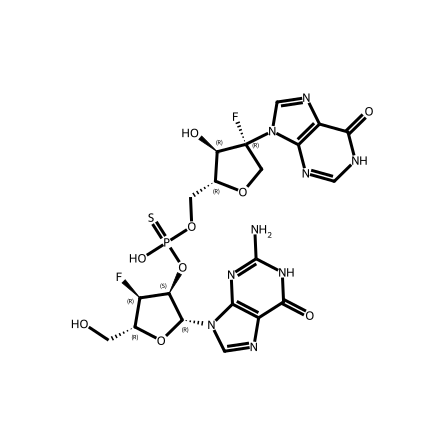 Nc1nc2c(ncn2[C@@H]2O[C@H](CO)[C@@H](F)[C@H]2OP(O)(=S)OC[C@H]2OC[C@](F)(n3cnc4c(=O)[nH]cnc43)[C@@H]2O)c(=O)[nH]1